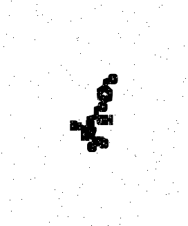 O=Cc1ccc(OCC(O)Cn2cc([N+](=O)[O-])nc2Br)cc1